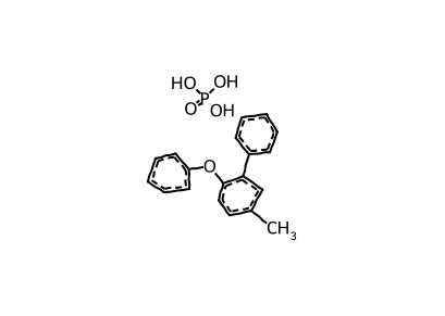 Cc1ccc(Oc2ccccc2)c(-c2ccccc2)c1.O=P(O)(O)O